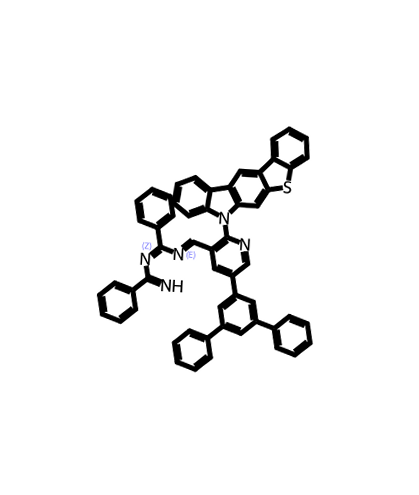 N=C(/N=C(\N=C\c1cc(-c2cc(-c3ccccc3)cc(-c3ccccc3)c2)cnc1-n1c2ccccc2c2cc3c(cc21)sc1ccccc13)c1ccccc1)c1ccccc1